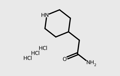 Cl.Cl.Cl.NC(=O)CC1CCNCC1